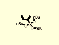 C=CC(=C)[Si](OCCCC)(OCCCC)OCCCC